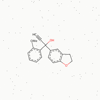 C#CC(O)(c1ccc2c(c1)CCO2)c1ccccc1OC